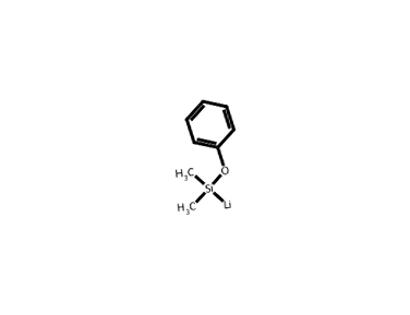 [Li][Si](C)(C)Oc1ccccc1